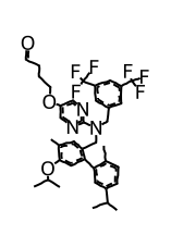 Cc1cc(CN(Cc2cc(C(F)(F)F)cc(C(F)(F)F)c2)c2ncc(OCCCC=O)cn2)c(-c2cc(C(C)C)ccc2C)cc1OC(C)C